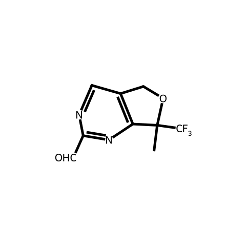 CC1(C(F)(F)F)OCc2cnc(C=O)nc21